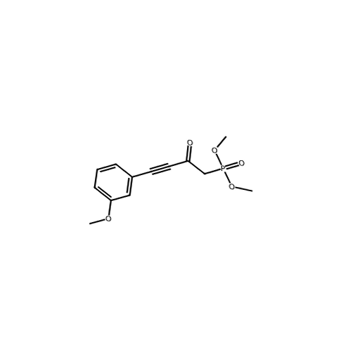 COc1cccc(C#CC(=O)CP(=O)(OC)OC)c1